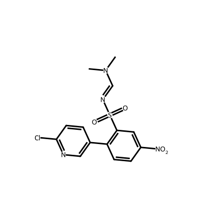 CN(C)C=NS(=O)(=O)c1cc([N+](=O)[O-])ccc1-c1ccc(Cl)nc1